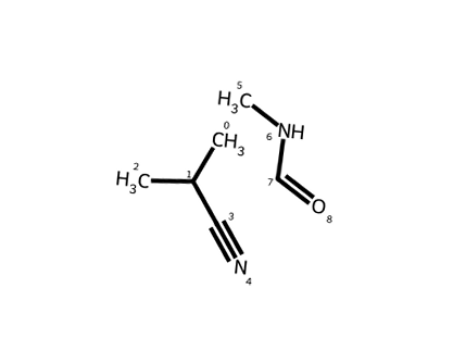 CC(C)C#N.CNC=O